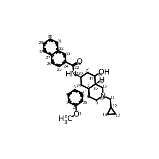 COc1cccc([C@@]23CCN(CC4CC4)C[C@H]2C(O)C[C@H](NC(=O)c2ccc4ccccc4c2)C3)c1